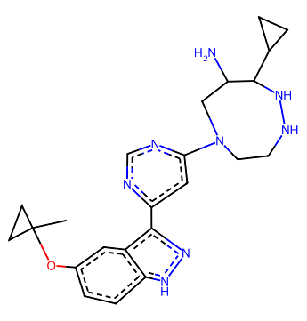 CC1(Oc2ccc3[nH]nc(-c4cc(N5CCNNC(C6CC6)C(N)C5)ncn4)c3c2)CC1